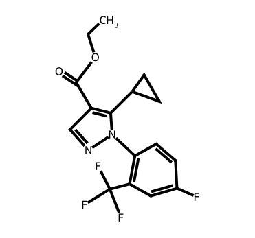 CCOC(=O)c1cnn(-c2ccc(F)cc2C(F)(F)F)c1C1CC1